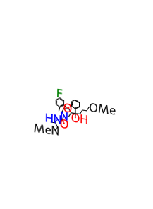 CNCC(C)NC(=O)N1CCC[C@@H]([C@@](O)(CCCCOC)c2ccccc2Oc2cc(F)ccc2C)C1